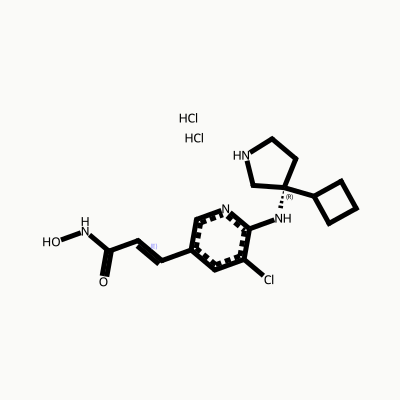 Cl.Cl.O=C(/C=C/c1cnc(N[C@@]2(C3CCC3)CCNC2)c(Cl)c1)NO